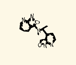 CC(c1ccnc2nocc12)N(C)c1onc2ncccc12